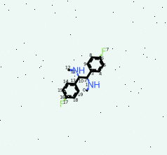 CN[C@H](c1ccc(F)cc1)[C@H](NC)c1ccc(F)cc1